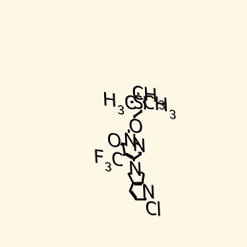 C[Si](C)(C)CCOCn1ncc(N2Cc3ccc(Cl)nc3C2)c(C(F)(F)F)c1=O